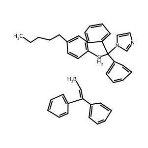 BC=C(c1ccccc1)c1ccccc1.CCCCCc1ccc([SiH2]C(c2ccccc2)(c2ccccc2)n2ccnc2)cc1